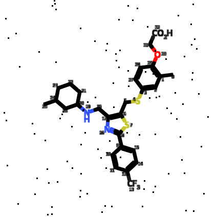 Cc1cc(SCc2sc(-c3ccc(C(F)(F)F)cc3)nc2CNC2CCCC(C)C2)ccc1OCC(=O)O